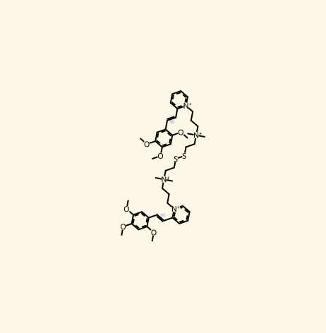 COc1cc(OC)c(OC)cc1/C=C/c1cccc[n+]1CCC[N+](C)(C)CCSSCC[N+](C)(C)CCC[n+]1ccccc1/C=C/c1cc(OC)c(OC)cc1OC